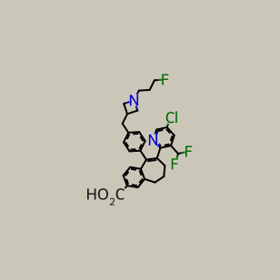 O=C(O)c1ccc2c(c1)CCCC(c1ncc(Cl)cc1C(F)F)=C2c1ccc(CC2CN(CCCF)C2)cc1